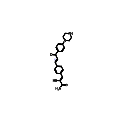 NC(=O)C(O)=Cc1ccc(/C=C/C(=O)c2ccc(N3CCNCC3)cc2)cc1